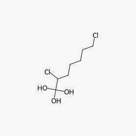 OC(O)(O)C(Cl)CCCCCCl